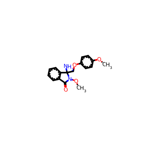 COc1ccc(OCC2(N)c3ccccc3C(=O)N2OC)cc1